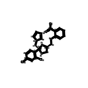 O=[N+]([O-])c1ccccc1OC[C@H]1CO[C@@](Cn2ccnc2)(c2ccc(Cl)cc2Cl)O1